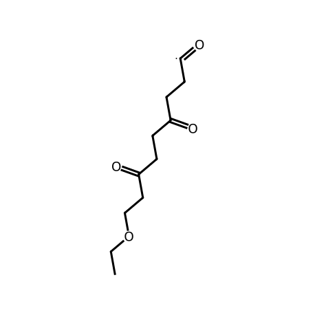 CCOCCC(=O)CCC(=O)CC[C]=O